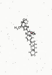 C/C=C(\N=c1\ccc(N2CCC(CN3CCCCC3)CC2)cn1C=O)c1cc2c(C)nc(C)cn2n1